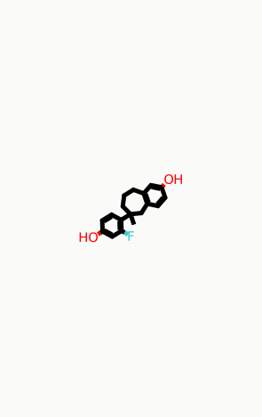 CC1(c2ccc(O)cc2F)CCCc2cc(O)ccc2C1